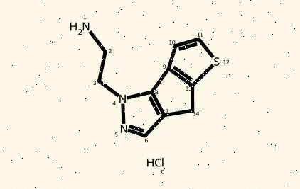 Cl.NCCn1ncc2c1-c1ccsc1C2